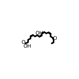 CCC1OC1C/C=C\C/C=C\C=C/C(O)C/C=C\CCCC(=O)O